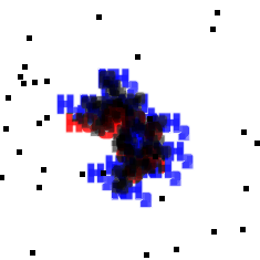 CC(C)C[C@H](NC(=O)[C@@H](Cc1ccccc1)NC(=O)[C@H](CCN)NC(=O)[C@H](CCN)NC(=O)[C@H](CCN)NC(=O)[C@@H](NC(=O)[C@@H](N)CCN)[C@@H](C)O)C(=O)N[C@@H](CCCCN)C(=O)N[C@@H](CCN)C(=O)N[C@H](C(=O)O)[C@@H](C)O